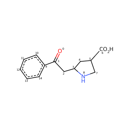 O=C(CC1CC(C(=O)O)CN1)c1ccccc1